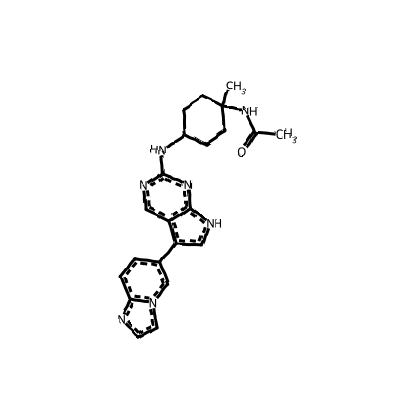 CC(=O)NC1(C)CCC(Nc2ncc3c(-c4ccc5nccn5c4)c[nH]c3n2)CC1